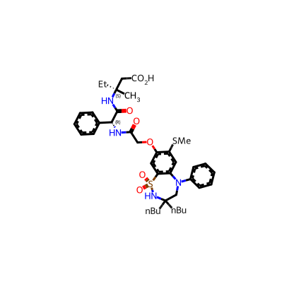 CCCCC1(CCCC)CN(c2ccccc2)c2cc(SC)c(OCC(=O)N[C@@H](C(=O)N[C@@](C)(CC)CC(=O)O)c3ccccc3)cc2S(=O)(=O)N1